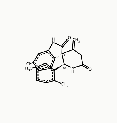 C=C1CC(=O)N[C@@H](c2cc(C)ccc2C)[C@@]12C(=O)Nc1cc(Cl)ccc12